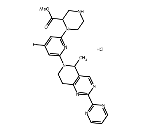 COC(=O)C1CNCCN1c1cc(F)cc(N2CCc3nc(-c4ncccn4)ncc3C2C)n1.Cl